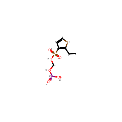 CCc1sccc1S(=O)(=O)OCO[PH](=O)O